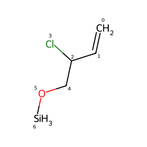 C=CC(Cl)CO[SiH3]